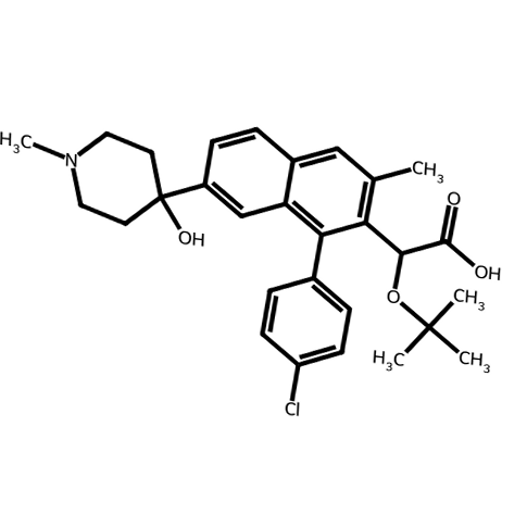 Cc1cc2ccc(C3(O)CCN(C)CC3)cc2c(-c2ccc(Cl)cc2)c1C(OC(C)(C)C)C(=O)O